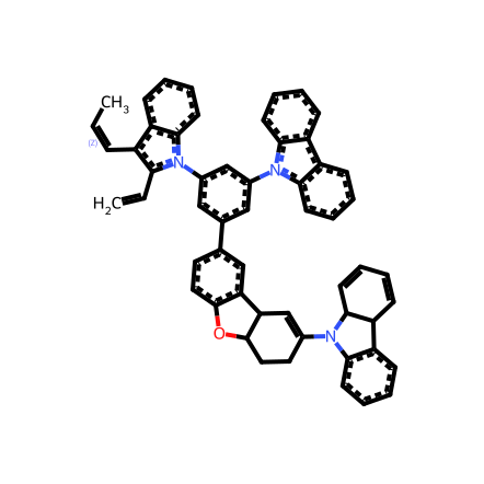 C=Cc1c(/C=C\C)c2ccccc2n1-c1cc(-c2ccc3c(c2)C2C=C(N4c5ccccc5C5C=CC=CC54)CCC2O3)cc(-n2c3ccccc3c3ccccc32)c1